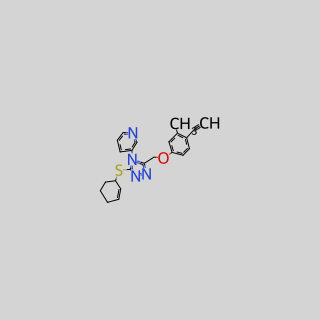 C#Cc1ccc(OCc2nnc(SC3C=CCCC3)n2-c2cccnc2)cc1C